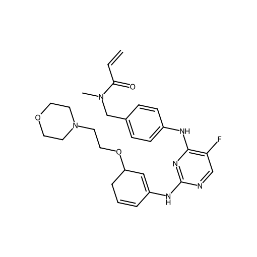 C=CC(=O)N(C)Cc1ccc(Nc2nc(NC3=CC(OCCN4CCOCC4)CC=C3)ncc2F)cc1